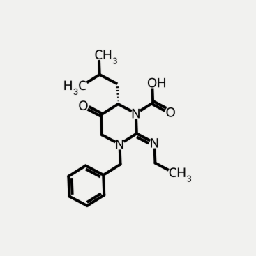 CCN=C1N(Cc2ccccc2)CC(=O)[C@H](CC(C)C)N1C(=O)O